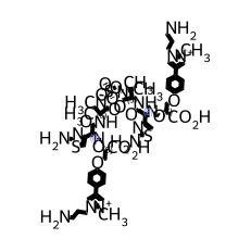 C[n+]1cc(-c2ccc(OC[C@H](O/N=C(/C(=O)N[C@@H]3C(=O)N(OS(=O)(=O)ON4C(=O)[C@@H](NC(=O)/C(=N/O[C@@H](COc5ccc(-c6cn(CCCN)[n+](C)c6)cc5)C(=O)O)c5csc(N)n5)C4(C)C)C3(C)C)c3csc(N)n3)C(=O)O)cc2)cn1CCCN